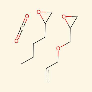 C=CCOCC1CO1.CCCCC1CO1.O=C=O